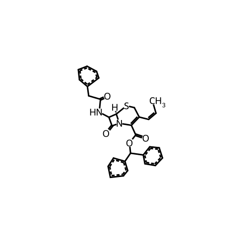 C/C=C\C1=C(C(=O)OC(c2ccccc2)c2ccccc2)N2C(=O)C(NC(=O)Cc3ccccc3)[C@H]2SC1